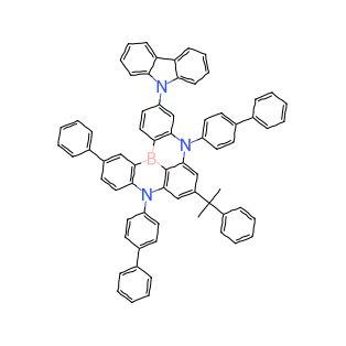 CC(C)(c1ccccc1)c1cc2c3c(c1)N(c1ccc(-c4ccccc4)cc1)c1cc(-n4c5ccccc5c5ccccc54)ccc1B3c1cc(-c3ccccc3)ccc1N2c1ccc(-c2ccccc2)cc1